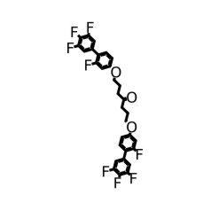 O=C(CCCOc1ccc(-c2cc(F)c(F)c(F)c2)c(F)c1)CCCOc1ccc(-c2cc(F)c(F)c(F)c2)c(F)c1